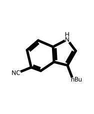 C[CH]CCc1c[nH]c2ccc(C#N)cc12